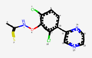 CC(=S)NOc1c(Cl)ccc(-c2cnccn2)c1Cl